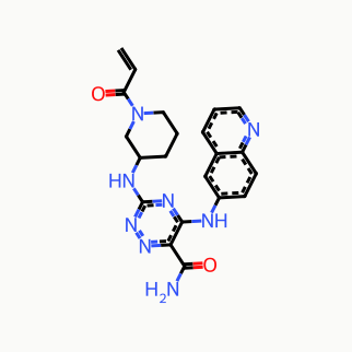 C=CC(=O)N1CCCC(Nc2nnc(C(N)=O)c(Nc3ccc4ncccc4c3)n2)C1